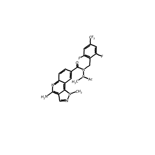 CC(=O)N(C)N(Cc1c(F)cc(C(F)(F)F)cc1F)C(=O)c1ccc2nc(N)c3cnn(C)c3c2c1